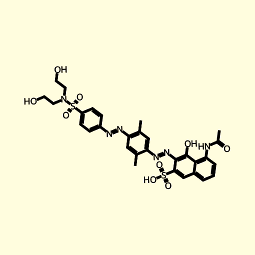 CC(=O)Nc1cccc2cc(S(=O)(=O)O)c(/N=N/c3cc(C)c(/N=N/c4ccc(S(=O)(=O)N(CCO)CCO)cc4)cc3C)c(O)c12